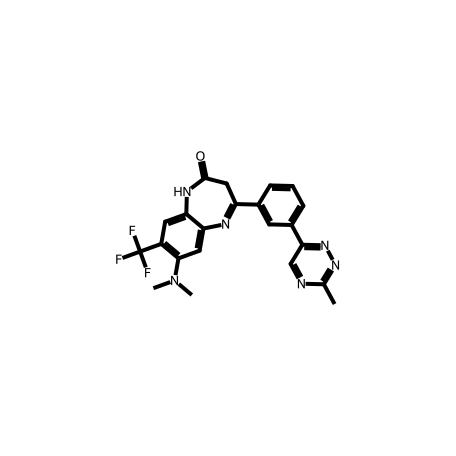 Cc1ncc(-c2cccc(C3=Nc4cc(N(C)C)c(C(F)(F)F)cc4NC(=O)C3)c2)nn1